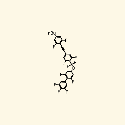 CCCCc1cc(F)c(C#Cc2cc(F)c(C(F)(F)Oc3cc(F)c(-c4cc(F)c(F)c(F)c4)c(F)c3)c(F)c2)c(F)c1